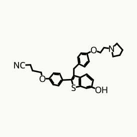 N#CCCCOc1ccc(-c2sc3cc(O)ccc3c2Cc2ccc(OCCN3CCCC3)cc2)cc1